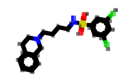 O=S(=O)(NCCCCN1CCc2ccccc2C1)c1cc(Cl)cc(Cl)c1